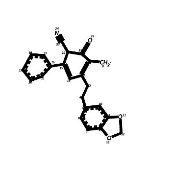 [CH2]C1=C(CCc2ccc3c(c2)OCO3)C=C(c2ccccc2)C(C#N)C1=O